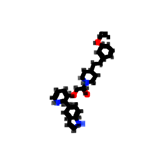 COc1cccc(CCC2CCN(C(=O)COc3cccnc3-c3ccc4[nH]ccc4c3)CC2)c1